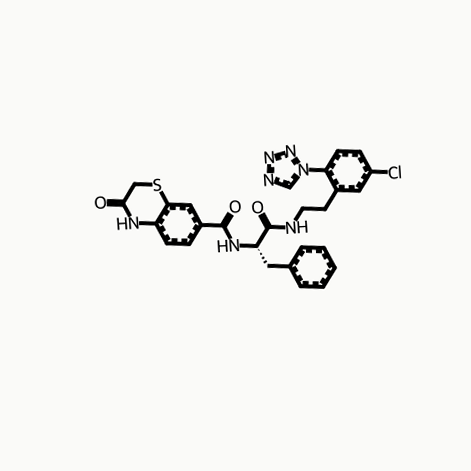 O=C1CSc2cc(C(=O)N[C@@H](Cc3ccccc3)C(=O)NCCc3cc(Cl)ccc3-n3cnnn3)ccc2N1